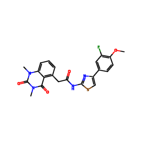 COc1ccc(-c2csc(NC(=O)Cc3cccc4c3c(=O)n(C)c(=O)n4C)n2)cc1F